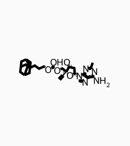 C#C[C@]1(COC(=O)OCCCC23CC4CC(CC(C4)C2)C3)O[C@@H](n2cnc3c(N)nc(C)nc32)C[C@@H]1O